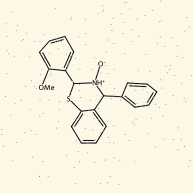 COc1ccccc1C1Sc2ccccc2C(c2ccccc2)[NH+]1[O-]